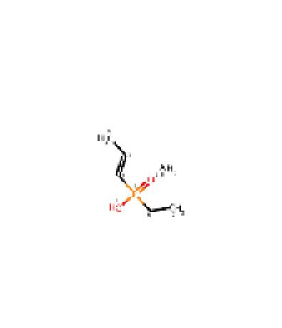 CC=CP(=O)(O)CC.[AlH3]